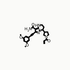 C=CC(=O)N1CCC(C2CCNc3c(C(N)=O)c(C#Cc4cc(OC)cc(OC)c4)nn32)C1